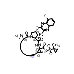 CCc1nc2cccc(F)c2nc1O[C@@H]1C[C@H]2C(=O)N[C@]3(C(=O)NS(=O)(=O)C4(C)CC4)C[C@H]3/C=C\CCCCC[C@H](N)C(=O)N2C1